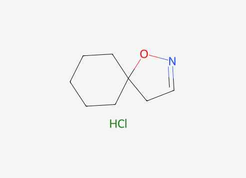 C1=NOC2(C1)CCCCC2.Cl